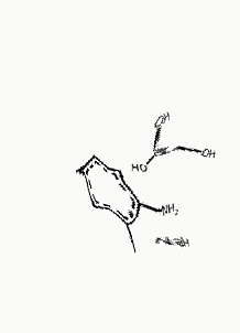 Cc1ccccc1N.OB(O)O.[NaH]